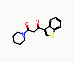 O=C(CC(=O)N1CCCCC1)c1csc2ccccc12